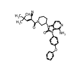 CC(C)(C)/C=C(\C#N)C(=O)N1CCC[C@@H](n2c(=O)n(-c3ccc(Oc4ccccc4)cc3)c3c(N)nccc32)C1